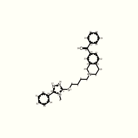 Cn1c(SCCCCN2CCc3ccc(C(=O)c4ccccc4)cc3C2)nnc1-c1ccccc1